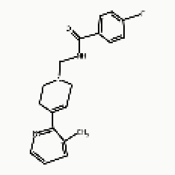 Cc1cccnc1C1=CCN(CNC(=O)c2ccc(F)cc2)CC1